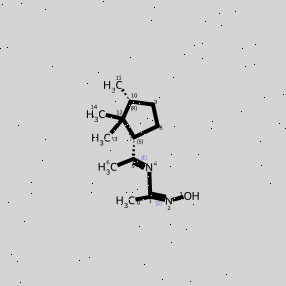 CC(=N/O)/N=C(\C)[C@H]1CC[C@@H](C)C1(C)C